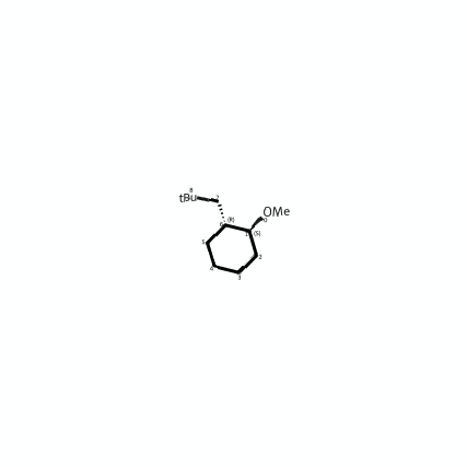 CO[C@H]1CCCC[C@@H]1CC(C)(C)C